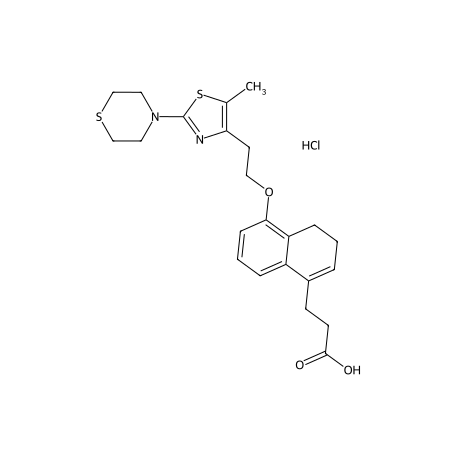 Cc1sc(N2CCSCC2)nc1CCOc1cccc2c1CCC=C2CCC(=O)O.Cl